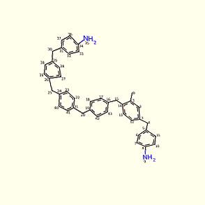 Cc1cc(Cc2ccc(N)cc2)ccc1Cc1ccc(Cc2ccc(Cc3ccc(Cc4ccc(N)cc4)cc3)cc2)cc1